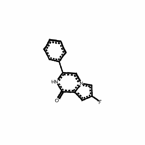 O=c1[nH]c(-c2ccccc2)cn2cc(F)cc12